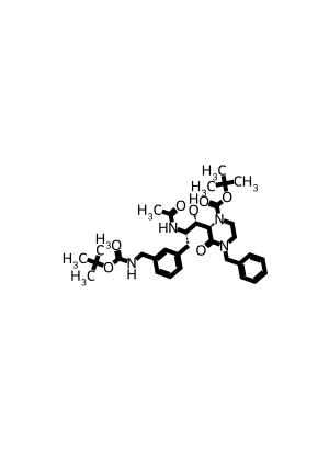 CC(=O)N[C@@H](Cc1cccc(CNC(=O)OC(C)(C)C)c1)[C@H](O)[C@H]1C(=O)N(Cc2ccccc2)CCN1C(=O)OC(C)(C)C